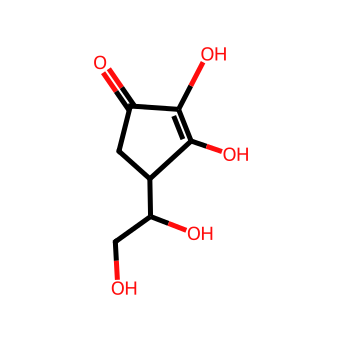 O=C1CC(C(O)CO)C(O)=C1O